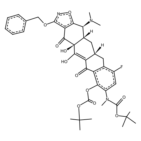 CN(C(=O)OC(C)(C)C)c1cc(F)c2c(c1OC(=O)OC(C)(C)C)C(=O)C1=C(O)[C@]3(O)C(=O)c4c(OCc5ccccc5)noc4[C@@H](N(C)C)[C@@H]3C[C@@H]1C2